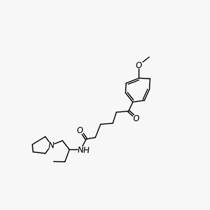 CCC(CN1CCCC1)NC(=O)CCCCC(=O)C1=CC=C(OC)CC=C1